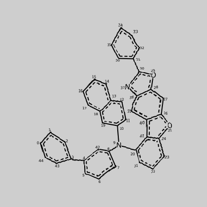 c1ccc(-c2cccc(N(c3ccc4ccccc4c3)c3cccc4oc5cc6oc(-c7ccccc7)nc6cc5c34)c2)cc1